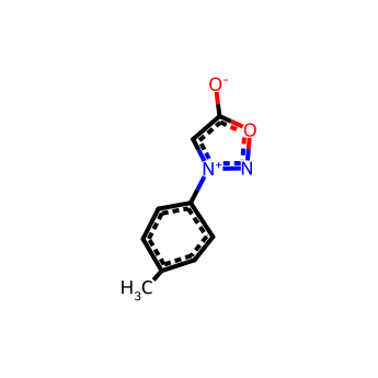 Cc1ccc(-[n+]2cc([O-])on2)cc1